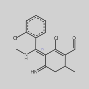 CN/C(=C1\C(=N)CC(C)C(C=O)=C1Cl)c1ccccc1Cl